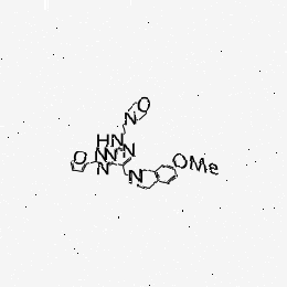 COc1ccc2c(c1)CN(Cc1cnc(NCCN3CCOCC3)n3nc(-c4ccco4)nc13)CC2